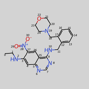 CCNc1cc2ncnc(NCc3ccccc3CN3CCOCC3)c2cc1[N+](=O)[O-]